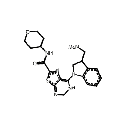 CNCC1CN(C2=c3nc(C(=O)NC4CCOCC4)sc3=NCN2)c2ccccc21